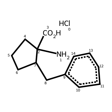 Cl.NC1(C(=O)O)CCCC1Cc1ccccc1